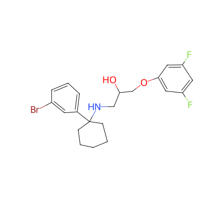 OC(CNC1(c2cccc(Br)c2)CCCCC1)COc1cc(F)cc(F)c1